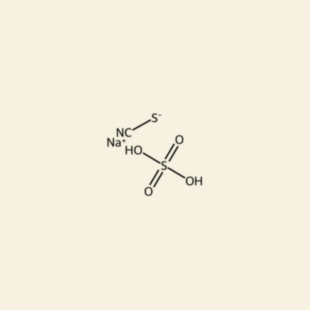 N#C[S-].O=S(=O)(O)O.[Na+]